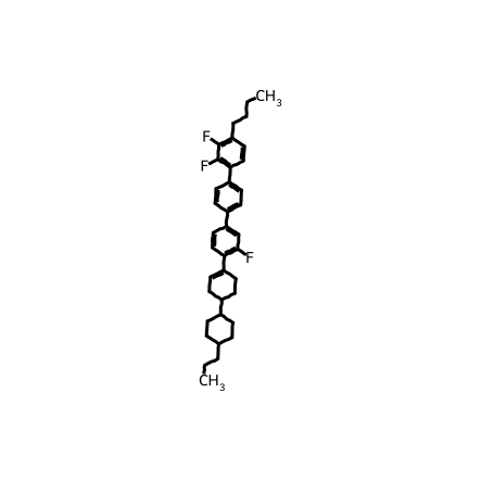 CCCCc1ccc(-c2ccc(-c3ccc(C4=CCC(C5CCC(CCC)CC5)CC4)c(F)c3)cc2)c(F)c1F